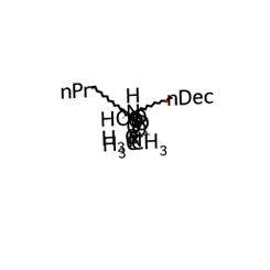 CCC/C=C\CCCCCCCC/C=C/[C@@H](O)[C@H](COP(=O)([O-])OCC[N+](C)(C)C)NC(=O)CCCCCCCCCCCCCCCCCCC